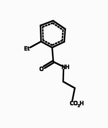 CCc1ccccc1C(=O)NCCC(=O)O